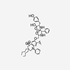 CCCCC1(CCCC)CN(c2ccccc2)c2cc(SC)c(OCC(=O)N[C@@H](C(=O)N[C@H](Cc3ccc(O)cc3)C(=O)O)c3ccccc3)cc2S(=O)(=O)C1